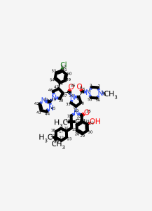 CN1CCN(C(=O)[C@@H]2C[C@H](N(CC(C)(C)CC3CCC(C)(C)CC3)C(=O)c3ccccc3O)CN2C(=O)[C@@H]2CN(c3ncccn3)C[C@H]2c2ccc(Cl)cc2)CC1